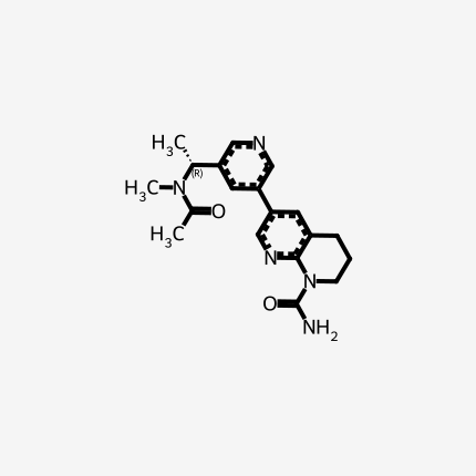 CC(=O)N(C)[C@H](C)c1cncc(-c2cnc3c(c2)CCCN3C(N)=O)c1